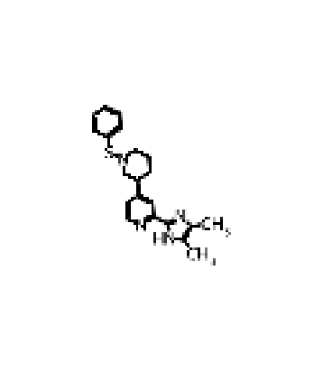 Cc1nc(-c2cc(C3CCCN(Sc4ccccc4)C3)ccn2)[nH]c1C